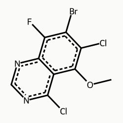 COc1c(Cl)c(Br)c(F)c2ncnc(Cl)c12